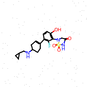 O=C1CN(c2c(O)ccc(C3=CCC(NCC4CC4)CC3)c2F)S(=O)(=O)N1